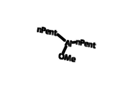 CCCC[CH2][Al]([CH2]CCCC)[O]C